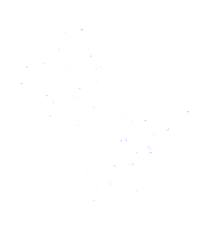 c1ccc(-c2cccc(-c3nc(-c4ccccc4)cc(-c4ccc(-c5nc6ccccc6c6c7ccccc7c7ccccc7c56)cc4)n3)c2)cc1